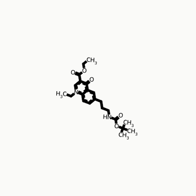 CCOC(=O)c1cn(CC)c2ccc(CCCNC(=O)OC(C)(C)C)cc2c1=O